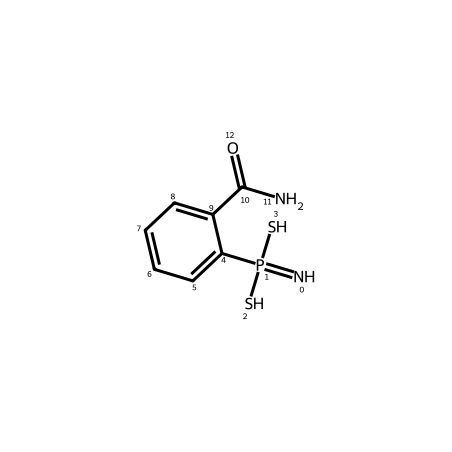 N=P(S)(S)c1ccccc1C(N)=O